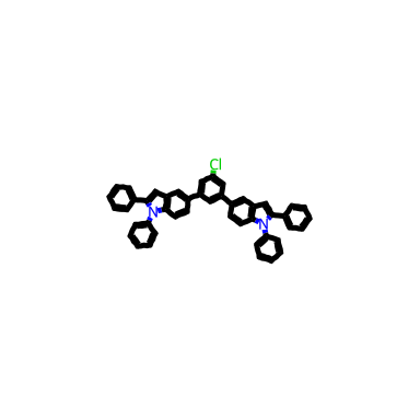 Clc1cc(-c2ccc3c(c2)cc(-c2ccccc2)n3-c2ccccc2)cc(-c2ccc3c(c2)cc(-c2ccccc2)n3-c2ccccc2)c1